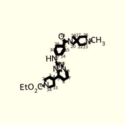 CCOC(=O)N1CC=C(c2cccn3nc(Nc4ccc(C(=O)N5CC6(CCN(C)CC6)C5)cc4)nc23)CC1